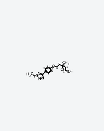 CCn1nnc(-c2ccc(OCCC(C)(C)CCO)nc2)n1